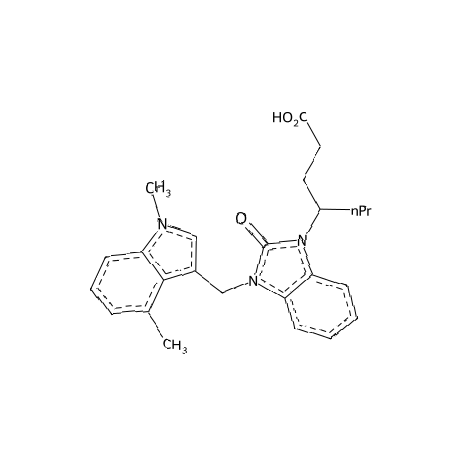 CCCC(CCC(=O)O)n1c(=O)n(Cc2cn(C)c3cccc(C)c23)c2ccccc21